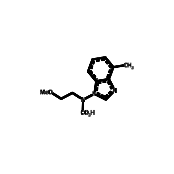 COCCN(C(=O)O)n1cnc2c(C)cccc21